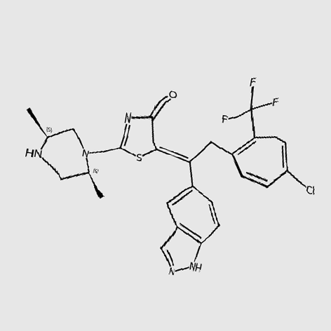 C[C@H]1CN(C2=NC(=O)C(=C(Cc3ccc(Cl)cc3C(F)(F)F)c3ccc4[nH]ncc4c3)S2)[C@@H](C)CN1